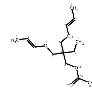 CC=COCC(CC)(COC=CC)COC(C)=O